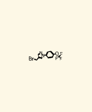 FC(F)(F)Oc1ccc(-n2cc(CBr)cn2)cc1